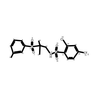 Cc1cccc(S(=O)(=O)C(C)(C)CNS(=O)(=O)c2ccc(C(F)(F)F)cc2Cl)c1